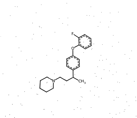 CC(CCN1CCCCC1)c1ccc(Oc2ccccc2F)cc1